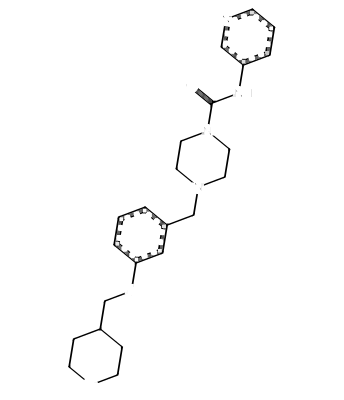 O=C(Nc1cccnc1)N1CCN(Cc2cccc(OCC3CCOCC3)c2)CC1